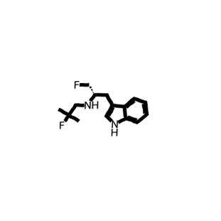 CC(C)(F)CN[C@H](CF)Cc1c[nH]c2ccccc12